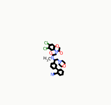 CN(C(=O)CN1C(=O)COc2cc(Cl)c(Cl)cc21)C(CN1CCOCC1)c1cccc(-c2ccccc2C#N)c1